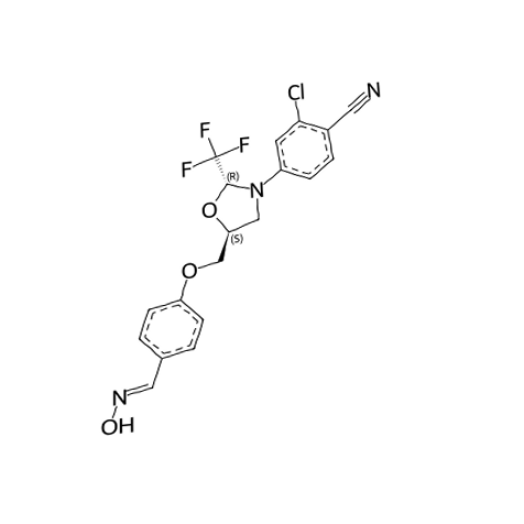 N#Cc1ccc(N2C[C@@H](COc3ccc(C=NO)cc3)O[C@@H]2C(F)(F)F)cc1Cl